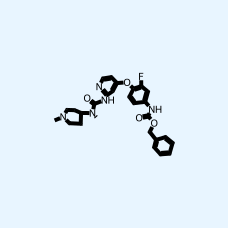 CN1CCC(N(C)C(=O)Nc2cc(Oc3ccc(NC(=O)OCc4ccccc4)cc3F)ccn2)CC1